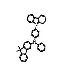 CC1(C)c2ccccc2-c2cc(N(c3ccccc3)c3ccc(-n4c5c(c6ccccc64)C=CCC5)cc3)ccc21